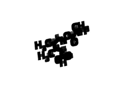 CNC(=O)ON=CC(C)C(C)C[SH](=O)=O